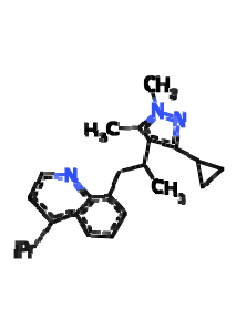 Cc1c(C(C)Cc2cccc3c(C(C)C)ccnc23)c(C2CC2)nn1C